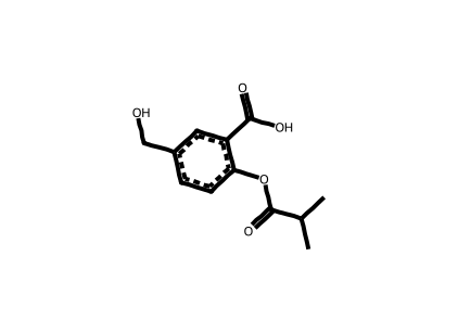 CC(C)C(=O)Oc1ccc(CO)cc1C(=O)O